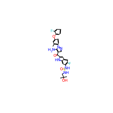 Cc1cc(Oc2ccccc2F)ccc1-n1ncc(C(=O)c2cc3cc(F)c(N[S+]([O-])NCC(C)(C)O)cc3[nH]2)c1N